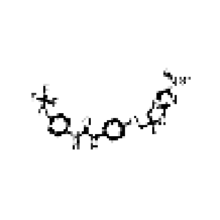 CC1(COc2ccc(NC(=O)Nc3ccc(OC(F)(F)F)cc3)cc2)Cn2cc([N+](=O)[O-])nc2O1